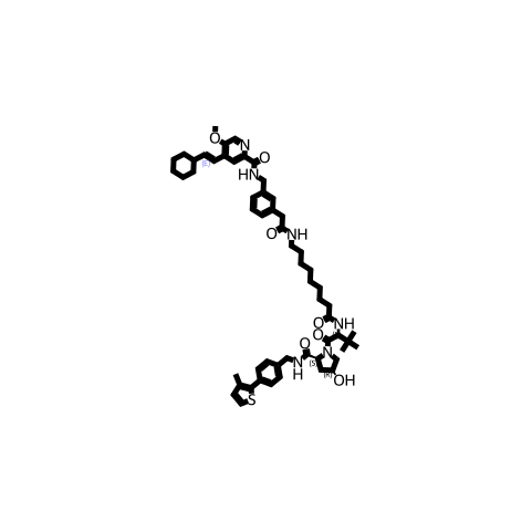 COc1cnc(C(=O)NCc2cccc(CC(=O)NCCCCCCCCC(=O)N[C@H](C(=O)N3C[C@H](O)C[C@H]3C(=O)NCc3ccc(-c4sccc4C)cc3)C(C)(C)C)c2)cc1/C=C/C1CCCCC1